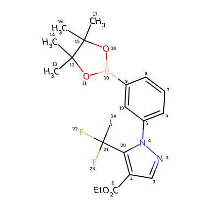 CCOC(=O)c1cnn(-c2cccc(B3OC(C)(C)C(C)(C)O3)c2)c1C(F)(F)I